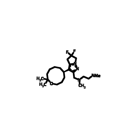 CNCCN(C)Cc1nn2c(c1[C@@H]1CCCCC(C)(C)OCCC1)CC(F)(F)C2